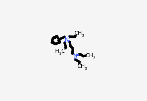 CCCN(CCC)CCCC[N+](CCC)(CCC)Cc1ccccc1